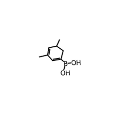 CC1=CC(C)CC(B(O)O)=C1